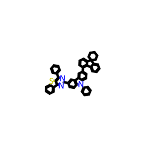 c1ccc(-c2nc(-c3ccc4c(c3)c3cc(-c5cccc6c5-c5ccccc5C65CCCCC5)ccc3n4-c3ccccc3)nc3c2sc2ccccc23)cc1